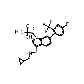 CC(C)(C)Cn1cc(CNSC2CC2)c2ccc(-c3ccc(F)cc3C(F)(F)F)cc21